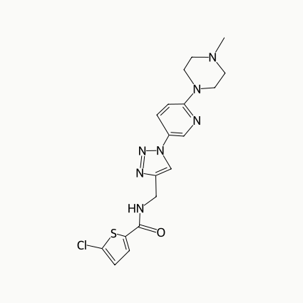 CN1CCN(c2ccc(-n3cc(CNC(=O)c4ccc(Cl)s4)nn3)cn2)CC1